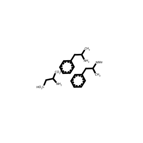 CC(N)Cc1ccccc1.CNC(C)Cc1ccccc1.NC(CC(=O)O)C(=O)O